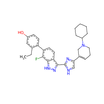 CCc1cc(O)ccc1-c1ccc2c(-c3nc(C4=CCCN(C5CCCCC5)C4)c[nH]3)n[nH]c2c1F